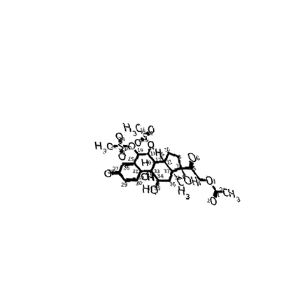 CC(=O)OCC(=O)[C@@]1(O)CC[C@H]2[C@@H]3C(OS(C)(=O)=O)C(OS(C)(=O)=O)C4=CC(=O)C=C[C@]4(C)[C@H]3C(O)C[C@@]21C